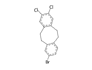 Clc1cc2c(cc1Cl)CCc1cc(Br)ccc1CC2